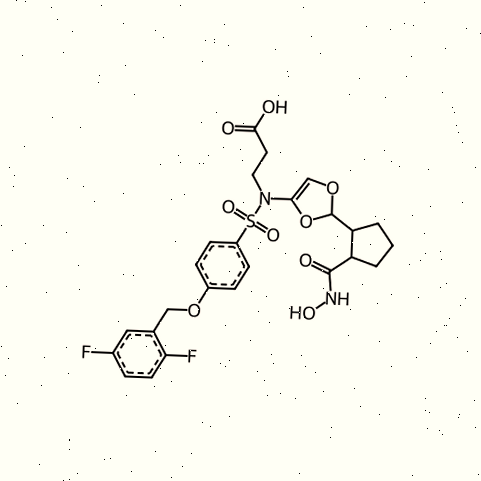 O=C(O)CCN(C1=COC(C2CCCC2C(=O)NO)O1)S(=O)(=O)c1ccc(OCc2cc(F)ccc2F)cc1